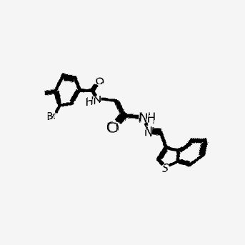 Cc1ccc(C(=O)NCC(=O)N/N=C/c2csc3ccccc23)cc1Br